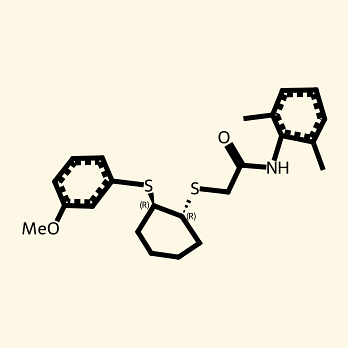 COc1cccc(S[C@@H]2CCCC[C@H]2SCC(=O)Nc2c(C)cccc2C)c1